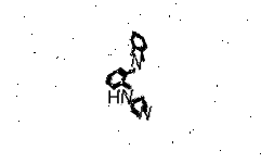 c1ccc(CN2Cc3ccccc3C2)c(CNc2ccncc2)c1